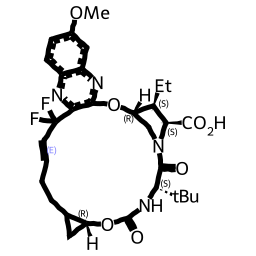 CC[C@@H]1[C@@H]2CN(C(=O)[C@H](C(C)(C)C)NC(=O)O[C@@H]3CC3CC/C=C/C(F)(F)c3nc4ccc(OC)cc4nc3O2)[C@@H]1C(=O)O